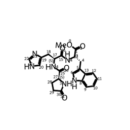 COC(=O)[C@H](Cc1c[nH]c2ccccc12)NC(=O)[C@H](Cc1c[nH]cn1)NC(=O)[C@@H]1CCC(=O)N1